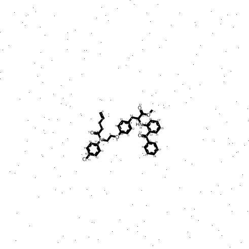 C=CCCC(=O)N(CCOc1ccc(CC(Nc2ccccc2C(=O)c2ccccc2)C(=O)OC)cc1)c1ccc(Cl)cc1